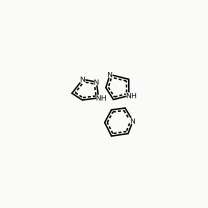 c1c[nH]cn1.c1c[nH]nn1.c1ccncc1